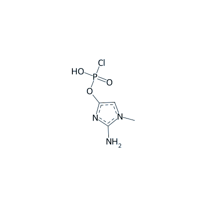 Cn1cc(OP(=O)(O)Cl)nc1N